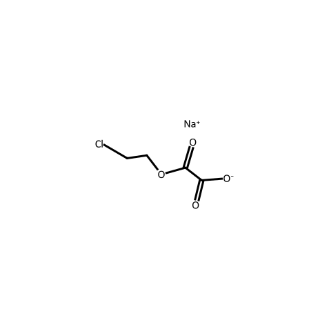 O=C([O-])C(=O)OCCCl.[Na+]